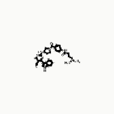 CN(C)C/C=C/C(=O)Nc1ccc(C(=O)N2CC[C@@H](Nc3ncc(C#N)c(-c4c[nH]c5ccccc45)n3)C2)cc1